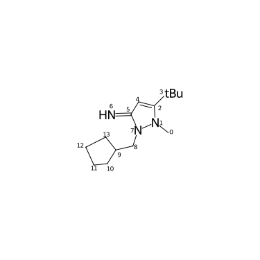 Cn1c(C(C)(C)C)cc(=N)n1CC1CCCC1